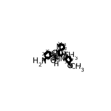 COc1ccc(C)c(Nc2nc3cccnc3nc2NS(=O)(=O)c2cccc(N)c2)c1